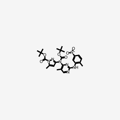 Cc1ccc([N+](=O)[O-])cc1Nc1ncc(C)c(N(C(=O)OC(C)(C)C)c2cc(C)n(C(=O)OC(C)(C)C)n2)n1